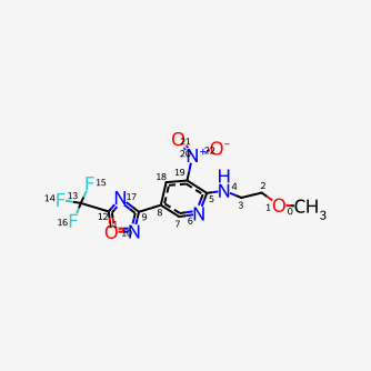 COCCNc1ncc(-c2noc(C(F)(F)F)n2)cc1[N+](=O)[O-]